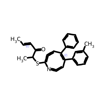 C/C=C/C(=O)C(C)SC1=C=C/C(c2ccccc2)=C(/c2cccc(C)c2)C=C=N1